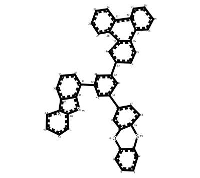 c1ccc2c(c1)Oc1cc(-c3cc(-c4ccc5c6ccccc6c6ccccc6c5c4)cc(-c4cccc5c4sc4ccccc45)c3)ccc1S2